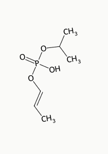 CC=COP(=O)(O)OC(C)C